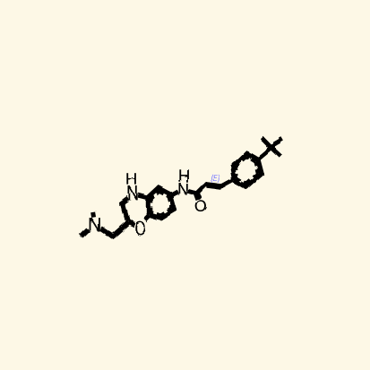 CN(C)CC1CNc2cc(NC(=O)/C=C/c3ccc(C(C)(C)C)cc3)ccc2O1